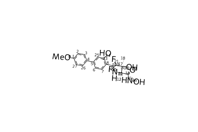 COc1ccc(-c2ccc(CN[C@](C)(C(=O)NO)[C@](C)(O)C(F)F)c(O)c2)cc1